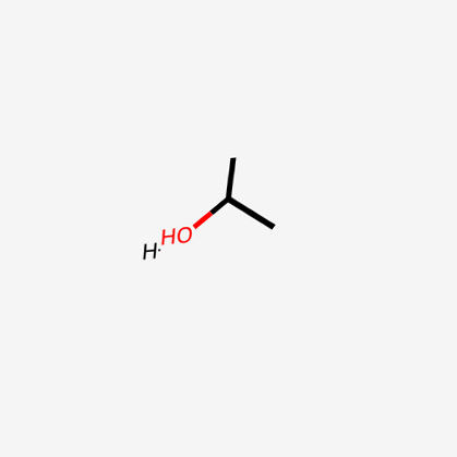 CC(C)O.[H]